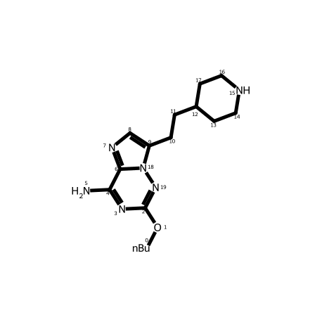 CCCCOc1nc(N)c2ncc(CCC3CCNCC3)n2n1